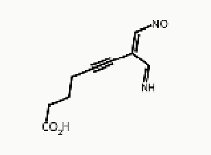 N=C/C(C#CCCCC(=O)O)=C\N=O